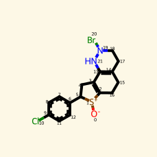 [O-][S+]1C2=C(CC1c1ccc(Cl)cc1)C1=C(CC2)CCN(Br)N1